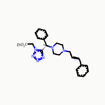 CCOC(=O)Cn1nnnc1[C@H](c1ccccc1)N1CCN(C/C=C/c2ccccc2)CC1